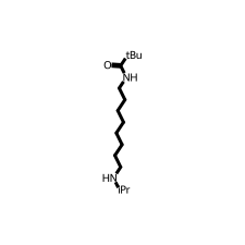 CC(C)NCCCCCCCCNC(=O)C(C)(C)C